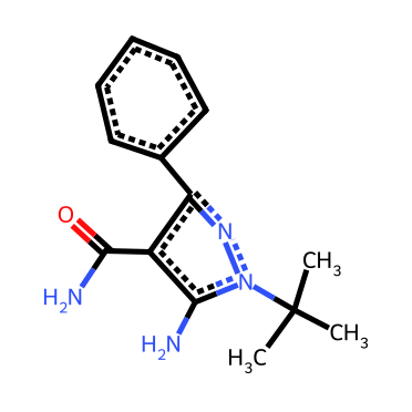 CC(C)(C)n1nc(-c2ccccc2)c(C(N)=O)c1N